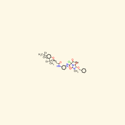 CCC(C)(C)c1ccc(OCCCC(=O)Nc2cccc(NC(=O)C(Cl)(C(=O)C(C)(C)C)N3C(=O)C(OCc4ccccc4)N(C)C3=O)c2)c(C(C)(C)CC)c1